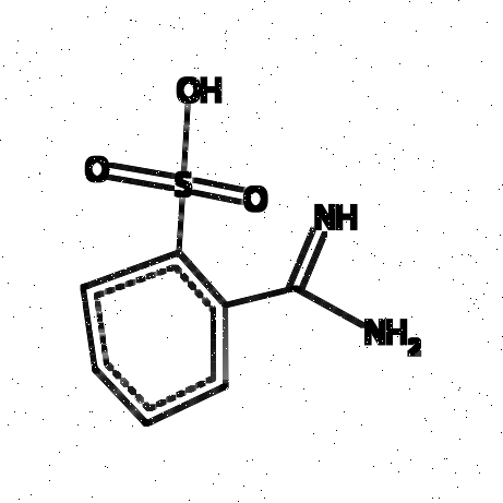 N=C(N)c1ccccc1S(=O)(=O)O